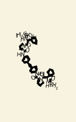 BC(=O)N[C@@H](C(=O)N1CCC[C@H]1C(=O)Nc1ccc(C#Cc2ccc(NC(=O)[C@@H]3CCCN3C(=O)[C@H](NB(C)O)c3ccccc3)cc2)cc1)c1ccccc1